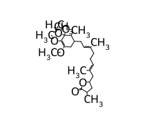 COC1=C(OC)C(OC)(OC)C(C)C(C/C=C(\C)CC/C=C(\C)CC2CC(C)C(=O)O2)C1